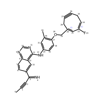 CC#CC(=N)c1ccc2ncnc(Nc3ccc(OC/C4=C/C(F)=C\CC#CC4)c(C)c3)c2c1